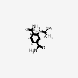 CC(C)[C@@H](C)Nc1cc(C(N)=O)ccc1C(N)=O